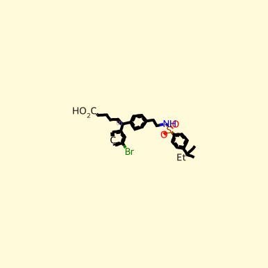 CCC(C)(C)c1ccc(S(=O)(=O)NCCc2ccc(/C(=C/CCCC(=O)O)c3cccc(Br)c3)cc2)cc1